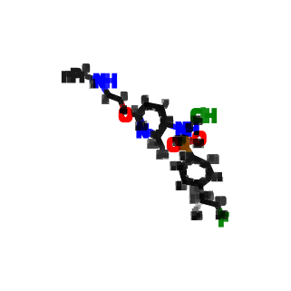 CCCNCCOc1ccc(NS(=O)(=O)c2ccc([C@@H](C)CF)cc2)c(C)n1.Cl